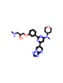 CNCC(O)COc1cccc(-c2nc(-c3cnc4ncnn4c3)cc(N(C)C3CCOCC3)n2)c1